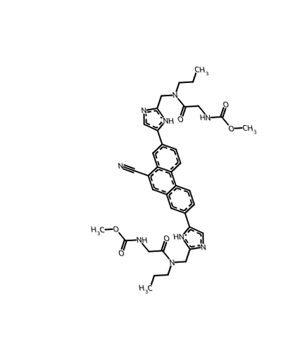 CCCN(Cc1ncc(-c2ccc3c(c2)cc(C#N)c2cc(-c4cnc(CN(CCC)C(=O)CNC(=O)OC)[nH]4)ccc23)[nH]1)C(=O)CNC(=O)OC